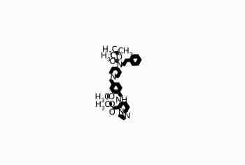 COC(=O)c1c(NCc2ccc(CN3CCC(N(CCc4ccccc4)C(=O)OC(C)(C)C)CC3)cc2OC)ccc2nccn12